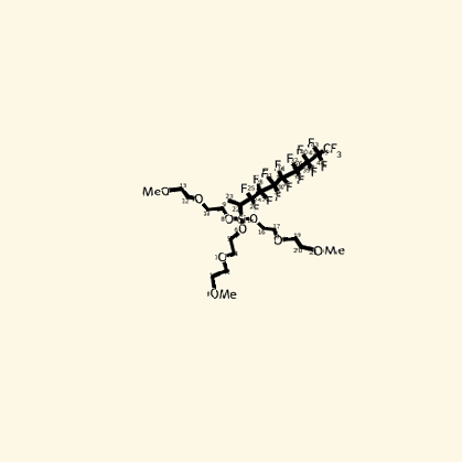 COCCOCCO[Si](OCCOCCOC)(OCCOCCOC)C(C)C(F)(F)C(F)(F)C(F)(F)C(F)(F)C(F)(F)C(F)(F)C(F)(F)C(F)(F)F